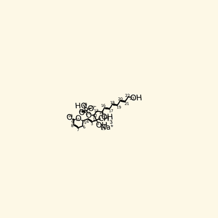 CC(O)(C=CC1CC=CC(=O)O1)C(CC(O)C=CC=CC=CCO)OP(=O)([O-])O.[Na+]